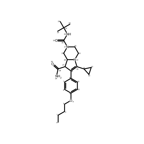 CCCCOc1ccc(C2=C(C3CC3)N3CCN(C(=O)NC(C)(C)C)CC3C2C(N)=O)cc1